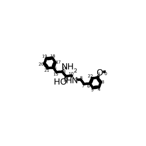 COc1cccc(CCNC[C@@H](O)[C@@H](N)Cc2ccccc2)c1